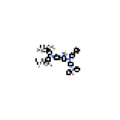 CC(C)(C)c1ccc2c(c1)c1cc(C(C)(C)C)ccc1n2-c1ccc(-c2ccc(N(c3ccc(-c4ccccc4)cc3)c3ccc(N4c5ccccc5Oc5ccccc54)cc3)c3nsnc23)cc1